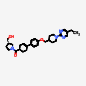 CCc1cnc(N2CCC(COc3ccc(C4=CCC(C(=O)N5CC[C@H](CO)C5)CC4)cc3)CC2)nc1